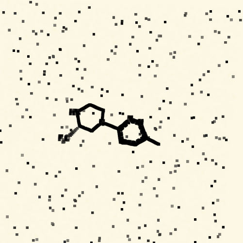 Cc1ccc(N2CCN[C@@H](C(F)(F)F)C2)nn1